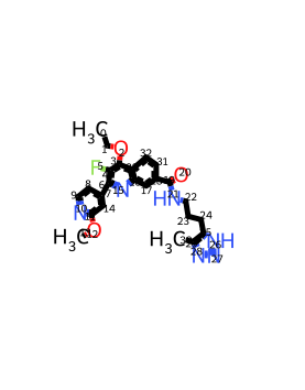 CCOc1c(F)c(-c2ccnc(OC)c2)nc2cc(C(=O)NCCCc3[nH]nnc3C)ccc12